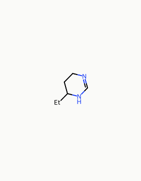 CCC1CCN=CN1